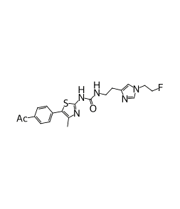 CC(=O)c1ccc(-c2sc(NC(=O)NCCc3cn(CCF)cn3)nc2C)cc1